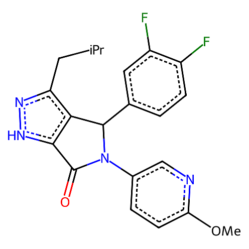 COc1ccc(N2C(=O)c3[nH]nc(CC(C)C)c3C2c2ccc(F)c(F)c2)cn1